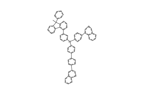 CC1(c2ccccc2)c2ccccc2-c2c(-c3cccc(N(c4ccc(-c5ccc(-c6ccc7ccccc7c6)cc5)cc4)c4ccc(-c5cccc6ccccc56)cc4)c3)cccc21